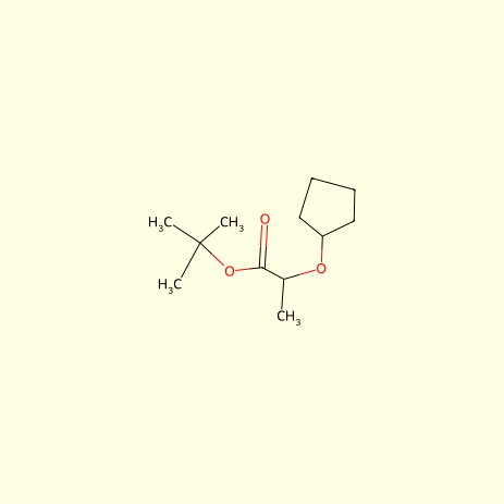 CC(OC1CCCC1)C(=O)OC(C)(C)C